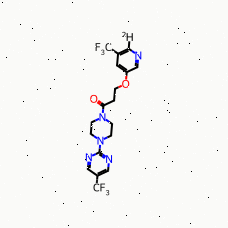 [2H]c1ncc(OCCC(=O)N2CCN(c3ncc(C(F)(F)F)cn3)CC2)cc1C(F)(F)F